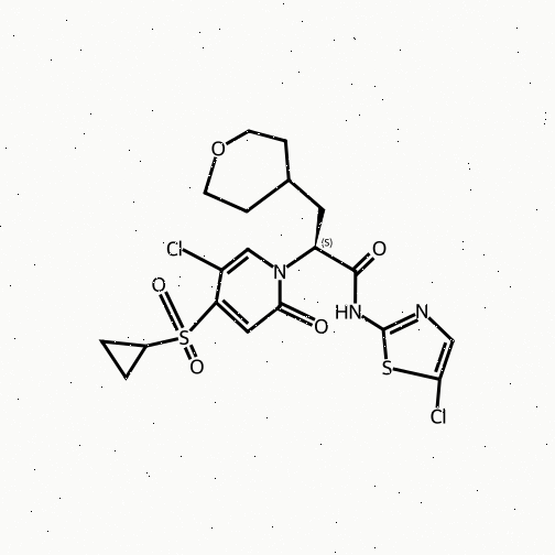 O=C(Nc1ncc(Cl)s1)[C@H](CC1CCOCC1)n1cc(Cl)c(S(=O)(=O)C2CC2)cc1=O